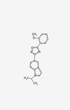 COc1ccccc1-c1nc(-c2ccc3c(ccn3C(C)C)c2)no1